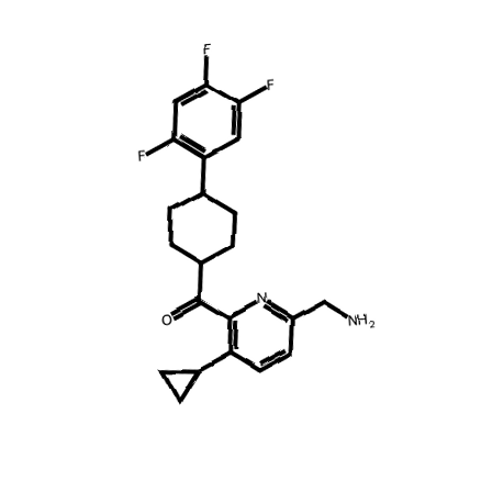 NCc1ccc(C2CC2)c(C(=O)C2CCC(c3cc(F)c(F)cc3F)CC2)n1